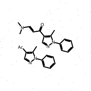 CC(=O)c1cnn(-c2ccccc2)c1C.Cc1c(C(=O)C=CN(C)C)cnn1-c1ccccc1